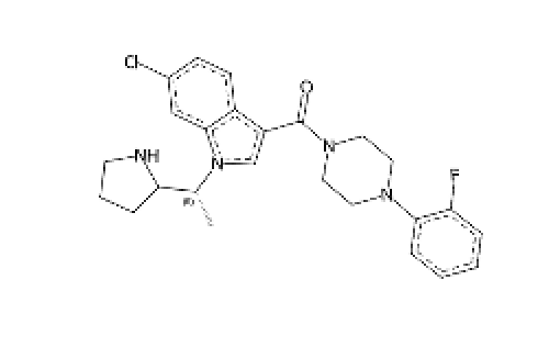 C[C@H](C1CCCN1)n1cc(C(=O)N2CCN(c3ccccc3F)CC2)c2ccc(Cl)cc21